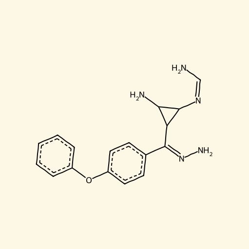 N/C=N\C1C(N)C1/C(=N\N)c1ccc(Oc2ccccc2)cc1